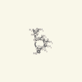 CC[C@H](C)[C@@H]1NC(=O)[C@H](Cc2ccc(O)cc2)NC(=O)CCCCC[C@@H](C(=O)NCC(=O)N[C@@H](CC(C)C)C(=O)NCC(N)=O)NC(=O)[C@H](CC(N)=O)NC(=O)[C@H](CCC(N)=O)NC1=O